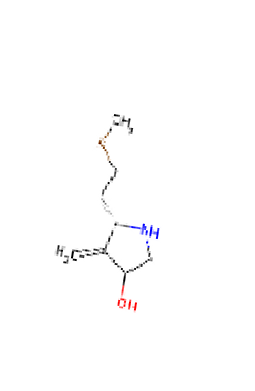 C=C1C(O)CN[C@H]1CCSC